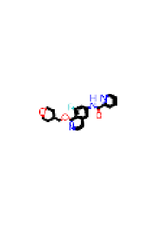 O=C(Nc1cc(F)c2c(OCC3CCOCC3)nccc2c1)c1ccccn1